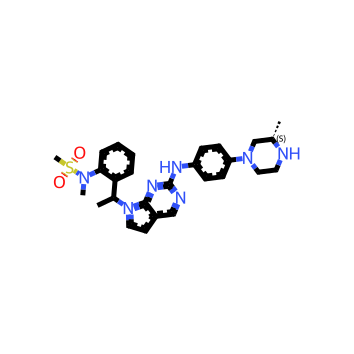 CC(c1ccccc1N(C)S(C)(=O)=O)n1ccc2cnc(Nc3ccc(N4CCN[C@@H](C)C4)cc3)nc21